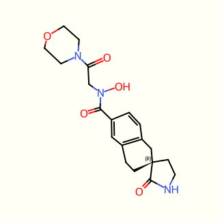 O=C(c1ccc2c(c1)CC[C@]1(CCNC1=O)C2)N(O)CC(=O)N1CCOCC1